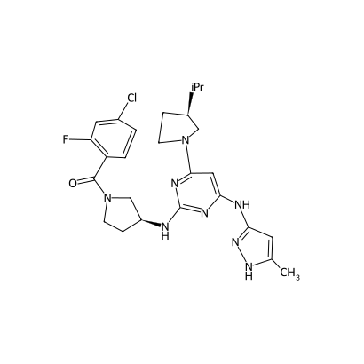 Cc1cc(Nc2cc(N3CC[C@@H](C(C)C)C3)nc(N[C@H]3CCN(C(=O)c4ccc(Cl)cc4F)C3)n2)n[nH]1